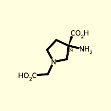 N[C@@]1(C(=O)O)CCN(CC(=O)O)C1